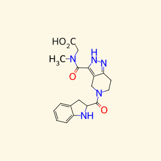 CN(CC(=O)O)C(=O)c1[nH]nc2c1CN(C(=O)C1Cc3ccccc3N1)CC2